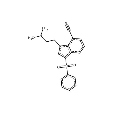 CN(C)CCn1cc(S(=O)(=O)c2ccccc2)c2cccc(C#N)c21